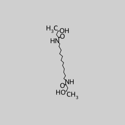 CC(O)CC(=O)NCCCCCCCCCCCCNC(=O)CC(C)O